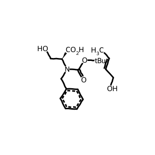 CC(C)(C)OC(=O)N(Cc1ccccc1)[C@@H](CO)C(=O)O.CC=CCO